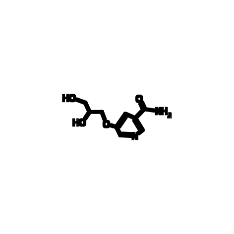 NC(=O)c1cncc(OCC(O)CO)c1